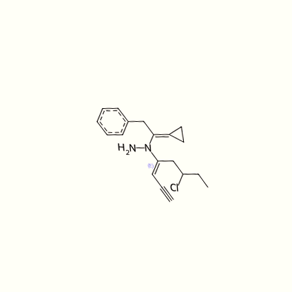 C#C/C=C(\CC(Cl)CC)N(N)C(Cc1ccccc1)=C1CC1